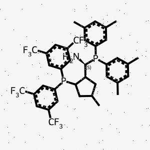 Cc1cc(C)cc(P(c2cc(C)cc(C)c2)[C@H](N)C2CC(C)CC2P(c2cc(C(F)(F)F)cc(C(F)(F)F)c2)c2cc(C(F)(F)F)cc(C(F)(F)F)c2)c1